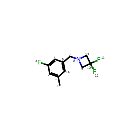 Cc1cc(F)cc(CN2CC(F)(F)C2)c1